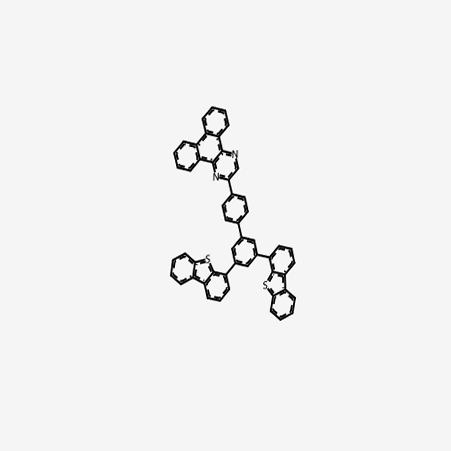 c1ccc2c(c1)sc1c(-c3cc(-c4ccc(-c5cnc6c7ccccc7c7ccccc7c6n5)cc4)cc(-c4cccc5c4sc4ccccc45)c3)cccc12